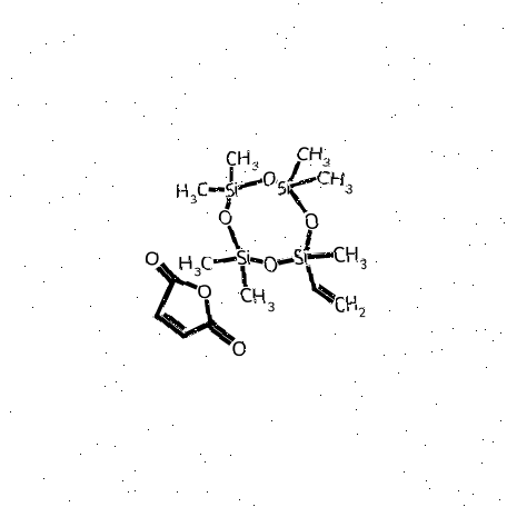 C=C[Si]1(C)O[Si](C)(C)O[Si](C)(C)O[Si](C)(C)O1.O=C1C=CC(=O)O1